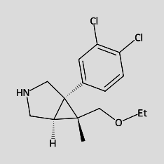 CCOC[C@]1(C)[C@H]2CNC[C@]21c1ccc(Cl)c(Cl)c1